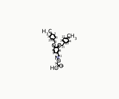 Cc1ccc(COc2ccc(/C=N/OCC(=O)O)cc2OCc2ccc(C)cc2)cc1